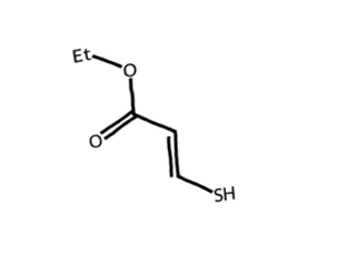 CCOC(=O)/C=C/S